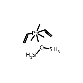 C=[CH][Pt]([CH3])([CH3])([CH3])([CH3])[CH]=C.[SiH3]O[SiH3]